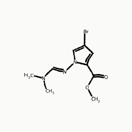 COC(=O)c1cc(Br)cn1N=CN(C)C